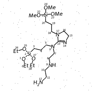 CCO[Si](CCCN(CCNCCN)C1=NCCN1CCC[Si](OC)(OC)OC)(OCC)OCC